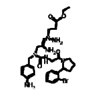 CCOC(=O)CCN(N)/C=C(\N)CN(Cc1ccc(N)cc1)C(=O)NCC(=O)N1CCCC1c1ccccc1Br